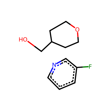 Fc1cccnc1.OCC1CCOCC1